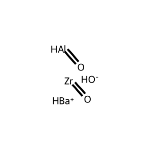 [BaH+].[OH-].[O]=[AlH].[O]=[Zr]